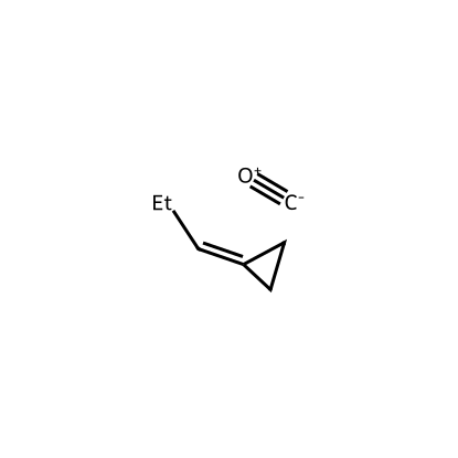 CCC=C1CC1.[C-]#[O+]